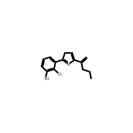 C=C(CCC)C1=CCC(c2cccc(S)c2Cl)=N1